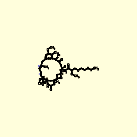 COc1cc2cc(c1Cl)N(C)C(=O)C[C@H](OC(=O)C(COCCSSC)OC)[C@@]1(C)CC(C)(O1)C1C[C@@](O)(NC(=O)O1)[C@H](OC)/C=C/C=C(\C)C2